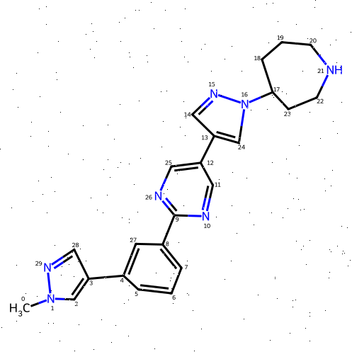 Cn1cc(-c2cccc(-c3ncc(-c4cnn(C5CCCNCC5)c4)cn3)c2)cn1